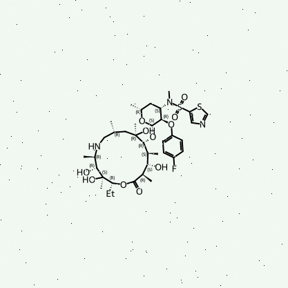 CC[C@H]1OC(=O)[C@H](C)[C@@H](O)[C@H](C)[C@@H](O[C@@H]2O[C@H](C)C[C@H](N(C)S(=O)(=O)c3cn[c]s3)[C@H]2Oc2ccc(F)cc2)[C@](C)(O)C[C@@H](C)CN[C@H](C)[C@@H](O)[C@]1(C)O